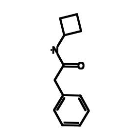 O=C(Cc1ccccc1)[N]C1CCC1